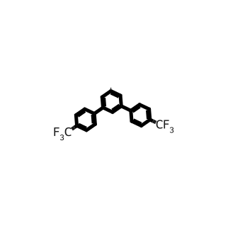 FC(F)(F)c1ccc(-c2c[c]cc(-c3ccc(C(F)(F)F)cc3)c2)cc1